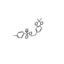 Cc1ccc(S(=O)(=O)O[C@@H](C)Cc2ccc3c(c2)OC(C)(C)O3)cc1